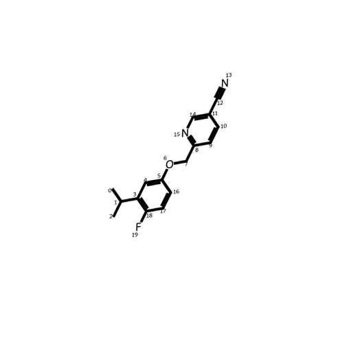 CC(C)c1cc(OCc2ccc(C#N)cn2)ccc1F